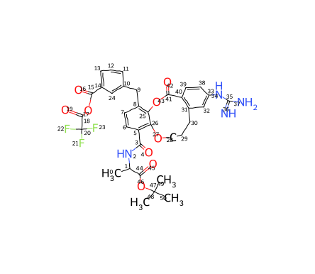 CC(NC(=O)c1ccc(Cc2cccc(C(=O)OC(=O)C(F)(F)F)c2)c2c1OCCCc1cc(NC(=N)N)ccc1C(=O)O2)C(=O)OC(C)(C)C